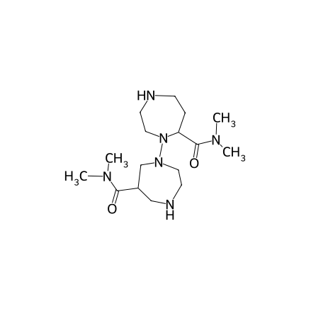 CN(C)C(=O)C1CNCCN(N2CCNCCC2C(=O)N(C)C)C1